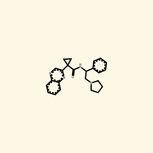 O=C(NC(CN1CCCC1)c1ccccc1)C1(c2cnc3ccccc3n2)CC1